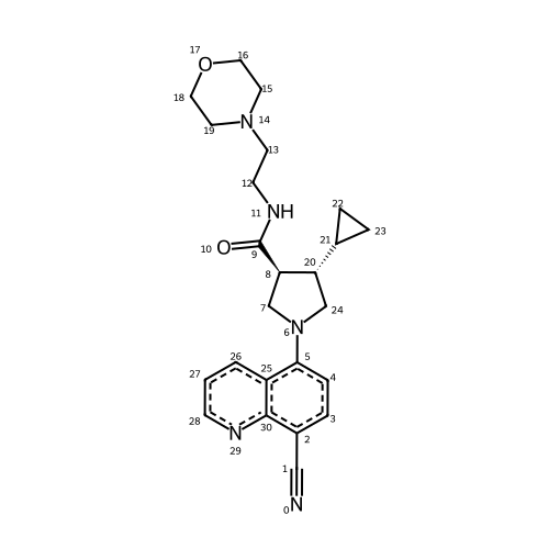 N#Cc1ccc(N2C[C@@H](C(=O)NCCN3CCOCC3)[C@H](C3CC3)C2)c2cccnc12